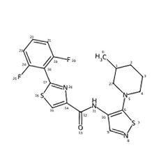 CC1CCCN(c2sncc2NC(=O)c2csc(-c3c(F)cccc3F)n2)C1